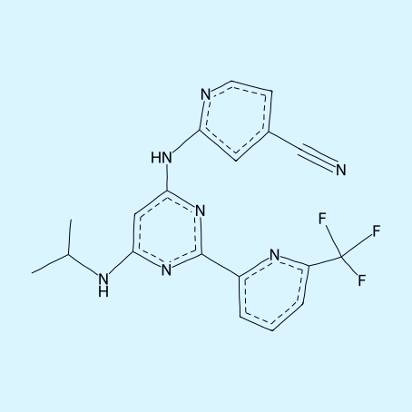 CC(C)Nc1cc(Nc2cc(C#N)ccn2)nc(-c2cccc(C(F)(F)F)n2)n1